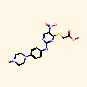 COC(=O)CSc1nc(Nc2ccc(N3CCN(C)CC3)cc2)ncc1[N+](=O)[O-]